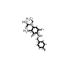 CCN(C(=O)O)c1cc(F)c(NCc2ccc(F)cc2)c(F)c1N